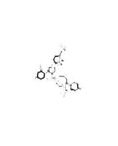 COC(=O)N1CCN(C(=O)[C@@H]2CN(c3ccc(C#N)nn3)C[C@H]2c2ccc(F)cc2F)CCC[C@H]1C1C=CC(Cl)=CC1